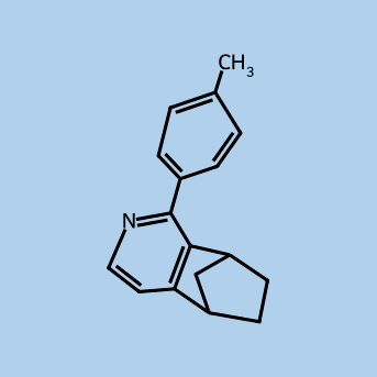 Cc1ccc(-c2nccc3c2C2CCC3C2)cc1